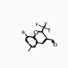 Cc1cc(Br)c2c(c1)C=C([C]=O)C(C(F)(F)F)O2